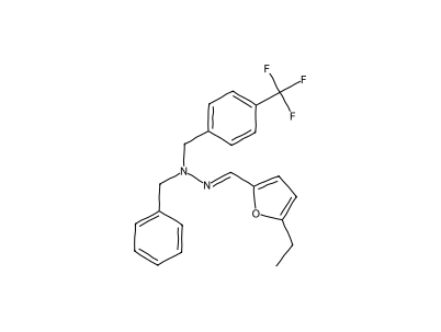 CCc1ccc(C=NN(Cc2ccccc2)Cc2ccc(C(F)(F)F)cc2)o1